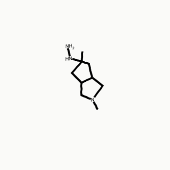 CN1CC2CC(C)(NN)CC2C1